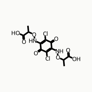 CC(ONC1=C(Cl)C(=O)C(NOC(C)C(=O)O)=C(Cl)C1=O)C(=O)O